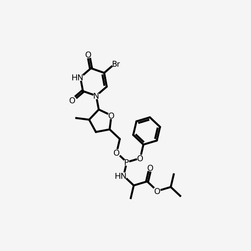 CC(C)OC(=O)C(C)NP(OCC1CC(C)C(n2cc(Br)c(=O)[nH]c2=O)O1)Oc1ccccc1